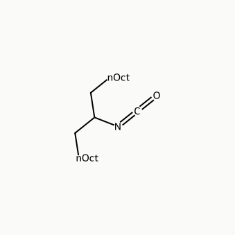 CCCCCCCCCC(CCCCCCCCC)N=C=O